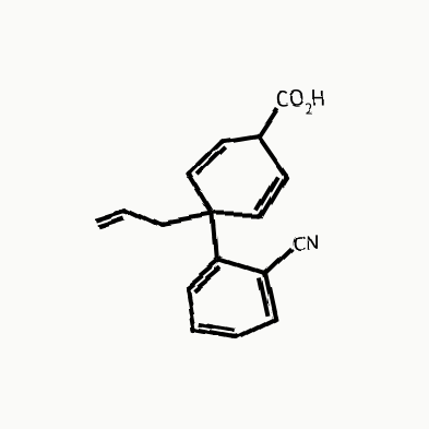 C=CCC1(c2ccccc2C#N)C=CC(C(=O)O)C=C1